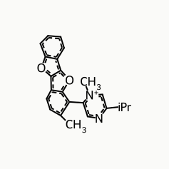 Cc1ccc2c(oc3c4ccccc4oc23)c1-c1cnc(C(C)C)c[n+]1C